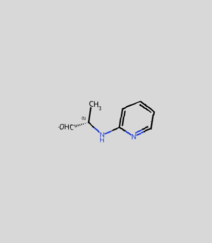 C[C@@H]([C]=O)Nc1ccccn1